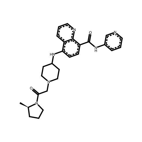 C[C@@H]1CCCN1C(=O)CN1CCC(Nc2ccc(C(=O)Nc3cccnc3)c3ncccc23)CC1